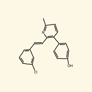 Cc1ccc(-c2ccc(O)cc2)c(C=Cc2cccc(Cl)c2)n1